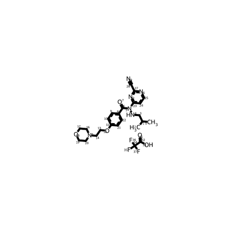 CC(C)CNN(C(=O)c1ccc(OCCN2CCOCC2)cc1)c1ccnc(C#N)n1.O=C(O)C(F)(F)F